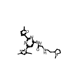 Cc1cc(C)n(-c2cc(NC(=O)CNCCC3CCCN3C)nc(-c3ccc(C)o3)n2)n1